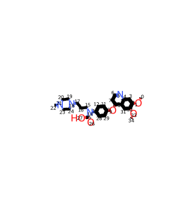 COc1cc2nccc(Oc3ccc(N(CCCN4CCN(C)CC4)C(=O)O)cc3)c2cc1OC